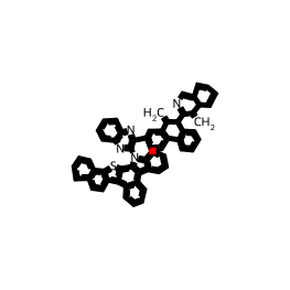 C=C1C(C2C(=C)c3cc(-c4nc5ccccc5nc4-n4c5ccccc5c5c6ccccc6c6c7ccc8ccccc8c7sc6c54)ccc3-c3ccccc32)=NC=C2C=CC=CC12